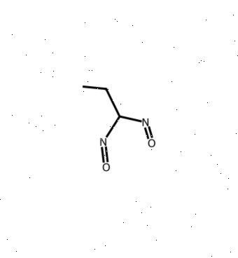 CCC(N=O)N=O